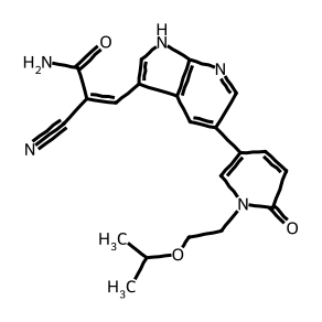 CC(C)OCCn1cc(-c2cnc3[nH]cc(C=C(C#N)C(N)=O)c3c2)ccc1=O